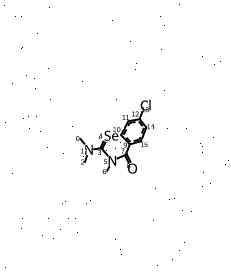 CN(C)C(=[Se])N(C)C(=O)c1ccc(Cl)cc1